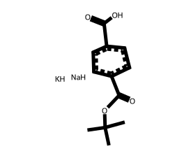 CC(C)(C)OC(=O)c1ccc(C(=O)O)cc1.[KH].[NaH]